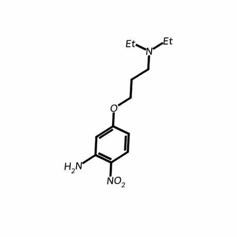 CCN(CC)CCCOc1ccc([N+](=O)[O-])c(N)c1